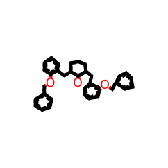 O=C1C(Cc2ccccc2OCc2ccccc2)CCCC1Cc1ccccc1OCc1ccccc1